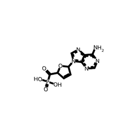 Nc1ncnc2c1ncn2C1C=CC(C(=O)P(=O)(O)O)O1